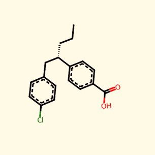 CCC[C@@H](Cc1ccc(Cl)cc1)c1ccc(C(=O)O)cc1